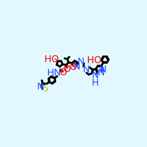 Cc1ncsc1-c1ccc(CNC(=O)[C@@H]2C[C@@H](O)CC2C(=O)C(c2cc(N(C)CCN3CCc4[nH]c5nnc(-c6ccccc6O)cc5c4C3)no2)C(C)C)cc1